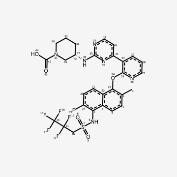 Cc1ccc2c(NS(=O)(=O)CC(F)(F)C(F)(F)F)c(F)ccc2c1Oc1ncccc1-c1ccnc(N[C@H]2CCCN(C(=O)O)C2)n1